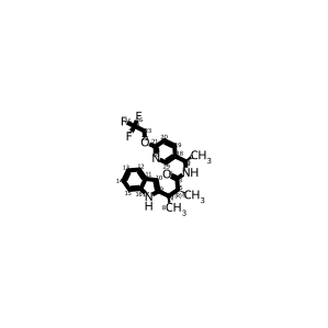 C[C@@H](NC(=O)[C@H](C)[C@@H](C)c1cc2ccccc2[nH]1)c1ccc(OCC(F)(F)F)nc1